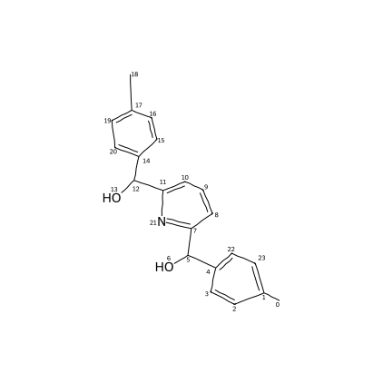 Cc1ccc(C(O)c2cccc(C(O)c3ccc(C)cc3)n2)cc1